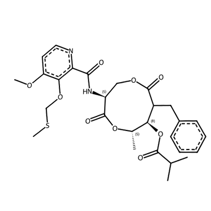 COc1ccnc(C(=O)N[C@H]2COC(=O)C(Cc3ccccc3)[C@@H](OC(=O)C(C)C)[C@H](C)OC2=O)c1OCSC